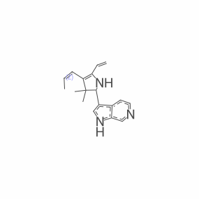 C=CC1=C(/C=C\C)C(C)(C)C(c2c[nH]c3cnccc23)N1